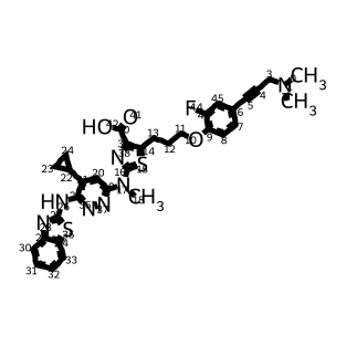 CN(C)CC#Cc1ccc(OCCCc2sc(N(C)c3cc(C4CC4)c(Nc4nc5ccccc5s4)nn3)nc2C(=O)O)c(F)c1